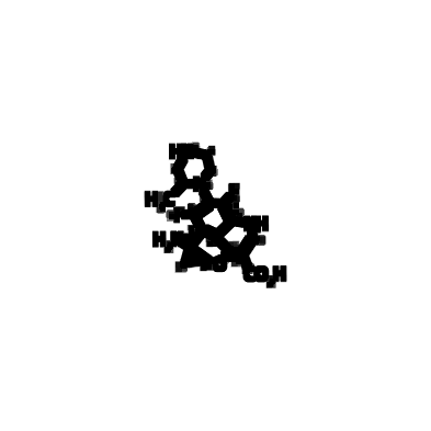 CC1CNCCN1c1c(F)c(C2(N)CC2)c2c(=O)c(C(=O)O)c[nH]c2c1F